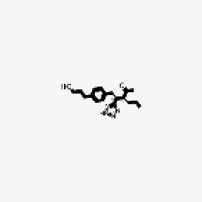 CCC[C@H](C(C)=O)[C@H](Cc1ccc(CCCO)cc1)c1nn[nH]n1